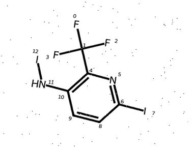 FC(F)(F)c1nc(I)ccc1NI